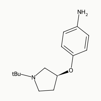 CC(C)(C)N1CC[C@H](Oc2ccc(N)cc2)C1